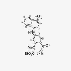 CCOC(=O)C1CC1C(=O)c1ncc(Nc2ccc(C(F)(F)F)c3ccccc23)cc1OC